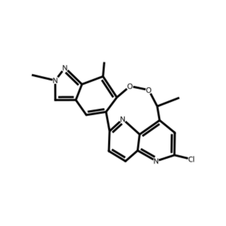 Cc1c2c(cc3cn(C)nc13)-c1ccc3nc(Cl)cc(c3n1)C(C)OO2